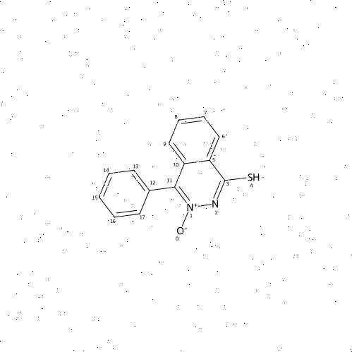 [O-][n+]1nc(S)c2ccccc2c1-c1ccccc1